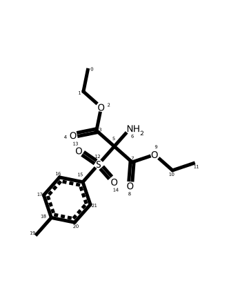 CCOC(=O)C(N)(C(=O)OCC)S(=O)(=O)c1ccc(C)cc1